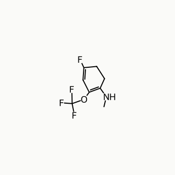 CNC1=C(OC(F)(F)F)C=C(F)CC1